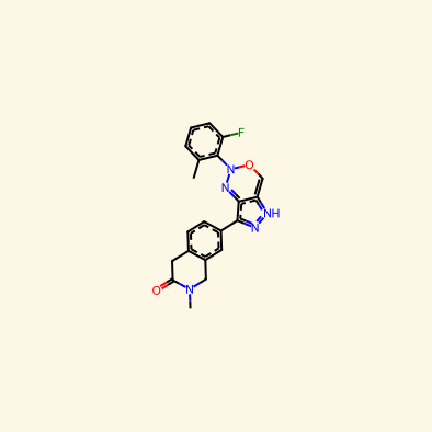 Cc1cccc(F)c1N1N=c2c(-c3ccc4c(c3)CN(C)C(=O)C4)n[nH]c2=CO1